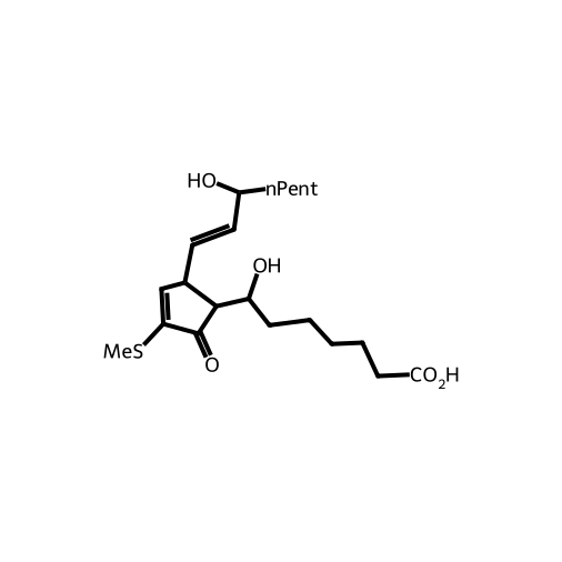 CCCCCC(O)C=CC1C=C(SC)C(=O)C1C(O)CCCCCC(=O)O